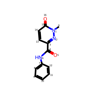 Cn1nc(C(=O)Nc2ccccc2)ccc1=O